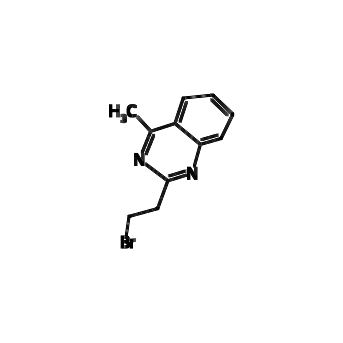 Cc1nc(CCBr)nc2ccccc12